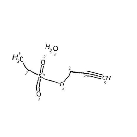 C#CCOS(=O)(=O)CC.O